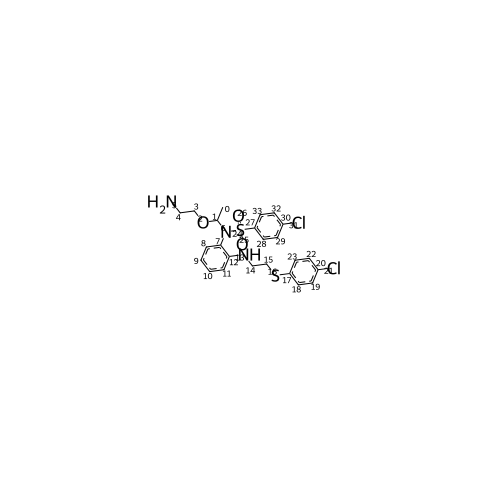 CC(OCCN)N(c1ccccc1NCCSc1ccc(Cl)cc1)S(=O)(=O)c1ccc(Cl)cc1